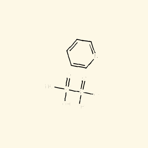 CP(=O)(O)P(=O)(O)O.c1ccncc1